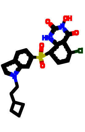 O=c1[nH]c2c(S(=O)(=O)c3ccc4ccn(CCC5CCC5)c4c3)ccc(Cl)c2c(=O)n1O